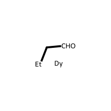 CCCC=O.[Dy]